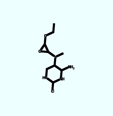 CCOC1OC1N(C)C1CNC(Cl)NC1N